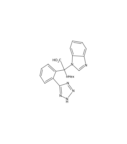 CCCCCCC(C(=O)O)(c1ccccc1-c1nn[nH]n1)n1cnc2ccccc21